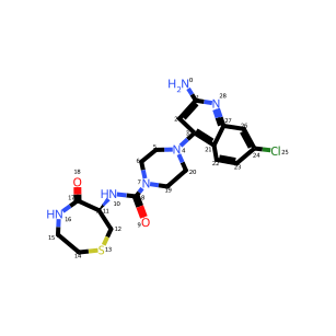 Nc1cc(N2CCN(C(=O)N[C@H]3CSCCNC3=O)CC2)c2ccc(Cl)cc2n1